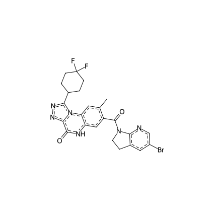 Cc1cc2c(cc1C(=O)N1CCc3cc(Br)cnc31)[nH]c(=O)c1nnc(C3CCC(F)(F)CC3)n12